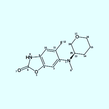 CN(c1cc2oc(=O)[nH]c2cc1F)[C@@H]1CCCOC1